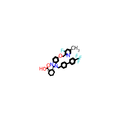 Cc1cnc(COc2ccc3nc([C@H]4CCCC[C@H]4C(=O)O)n(Cc4ccc(-c5ccc(C(F)(F)F)cc5)cc4)c3c2)c(F)c1